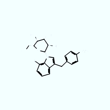 COc1ccc(Cc2cn([C@@H]3O[C@H](CO)[C@@H](O)[C@H](O)[C@H]3O)c3c(Cl)cccc23)cc1